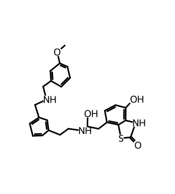 COc1cccc(CNCc2cccc(CCNC(O)Cc3ccc(O)c4[nH]c(=O)sc34)c2)c1